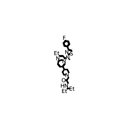 CCC1=CC(N(C)c2nc(-c3ccc(F)cc3)cs2)N2C=C(C3CCN(CC(=O)CNC(CC)CC)CC3)C=CC(=N1)C2